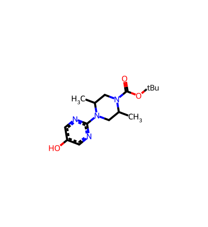 CC1CN(c2ncc(O)cn2)C(C)CN1C(=O)OC(C)(C)C